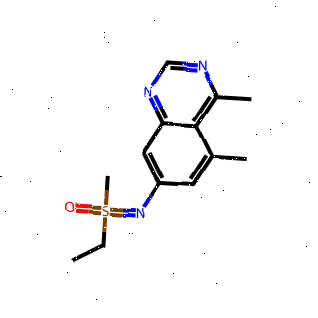 CCS(C)(=O)=Nc1cc(C)c2c(C)ncnc2c1